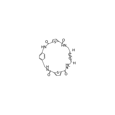 O=C1NCc2ccc(cc2)CNC(=O)c2ccc(s2)C(=O)NC[C@H]2CC[C@H](CC2)CNC(=O)c2ccc1s2